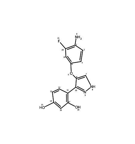 Nc1ccc(Oc2c[nH]nc2-c2ccc(O)cc2O)cc1F